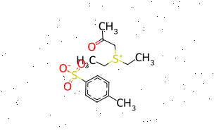 CC[S+](CC)CC(C)=O.Cc1ccc(S(=O)(=O)[O-])cc1